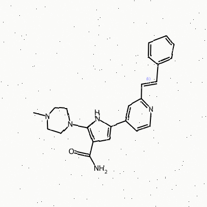 CN1CCN(c2[nH]c(-c3ccnc(/C=C/c4ccccc4)c3)cc2C(N)=O)CC1